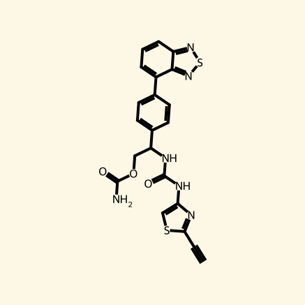 C#Cc1nc(NC(=O)NC(COC(N)=O)c2ccc(-c3cccc4nsnc34)cc2)cs1